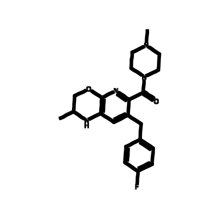 CC1COc2nc(C(=O)N3CCN(C)CC3)c(Cc3ccc(F)cc3)cc2N1